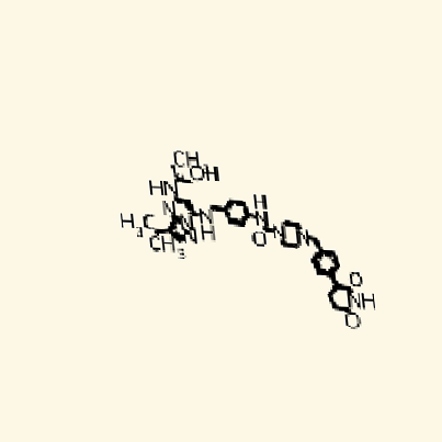 CC[C@@H](CO)Nc1cc(NCc2ccc(NC(=O)N3CCN(Cc4ccc(C5CCC(=O)NC5=O)cc4)CC3)cc2)n2ncc(C(C)C)c2n1